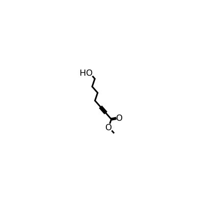 COC(=O)C#CCCCCO